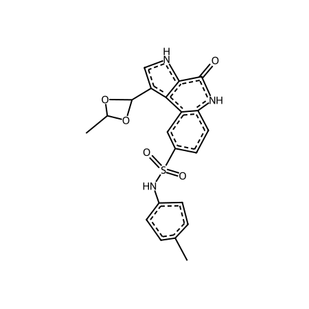 Cc1ccc(NS(=O)(=O)c2ccc3[nH]c(=O)c4[nH]cc(C5OC(C)O5)c4c3c2)cc1